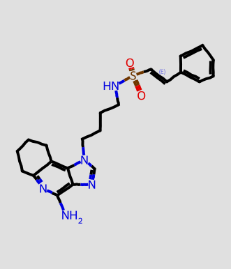 Nc1nc2c(c3c1ncn3CCCCNS(=O)(=O)/C=C/c1ccccc1)CCCC2